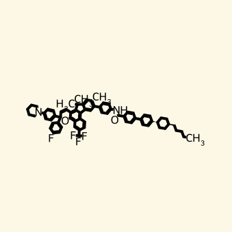 CCCCC[C@H]1CC[C@H](c2ccc(-c3ccc(C(=O)Nc4ccc(-c5cc6c(cc5C)C(C)(C)c5c7c(c8cc(C(F)(F)F)ccc8c5-6)OC(c5ccc(F)cc5)(c5ccc(N6CCCCC6)cc5)C=C7)cc4)cc3)cc2)CC1